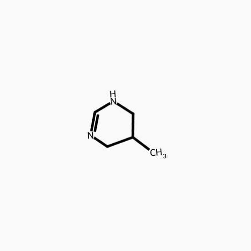 CC1CN=CNC1